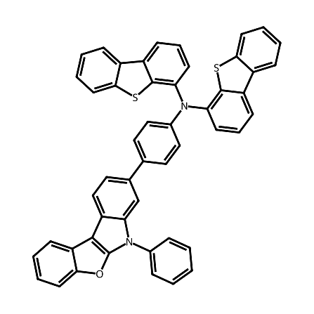 c1ccc(-n2c3cc(-c4ccc(N(c5cccc6c5sc5ccccc56)c5cccc6c5sc5ccccc56)cc4)ccc3c3c4ccccc4oc32)cc1